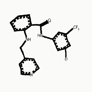 O=C(Nc1cc(Cl)cc(C(F)(F)F)c1)c1ccccc1NCc1ccncc1